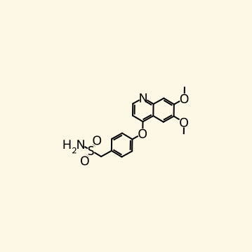 COc1cc2nccc(Oc3ccc(CS(N)(=O)=O)cc3)c2cc1OC